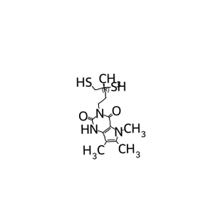 Cc1c(C)n(C)c2c(=O)n(CC[C@@](C)(S)CS)c(=O)[nH]c12